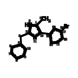 Cc1[nH]c(Cc2ccccc2)nc1-c1cccc(Br)c1